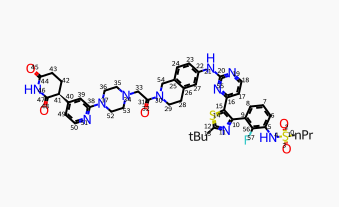 CCCS(=O)(=O)Nc1cccc(-c2nc(C(C)(C)C)sc2-c2ccnc(Nc3ccc4c(c3)CCN(C(=O)CN3CCN(c5cc([C@@H]6CCC(=O)NC6=O)ccn5)CC3)C4)n2)c1F